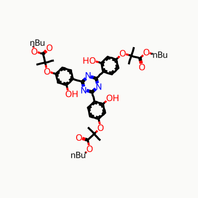 CCCCOC(=O)C(C)(C)Oc1ccc(-c2nc(-c3ccc(OC(C)(C)C(=O)OCCCC)cc3O)nc(-c3ccc(OC(C)(C)C(=O)OCCCC)cc3O)n2)c(O)c1